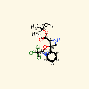 CC(C)(C)OC(=O)C1NCC1(OC(=N)C(Cl)(Cl)Cl)c1ccccc1